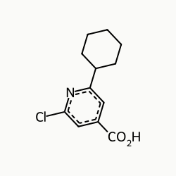 O=C(O)c1cc(Cl)nc(C2CCCCC2)c1